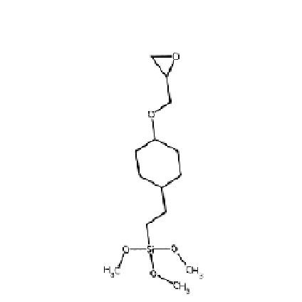 CO[Si](CCC1CCC(OCC2CO2)CC1)(OC)OC